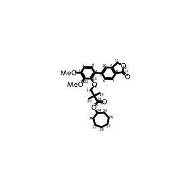 COc1ccc(-c2ccc3c(c2)COC3=O)c(OCC(C)(C)C(=O)OC2CCCCCC2)c1OC